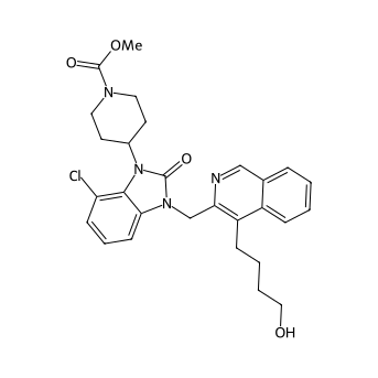 COC(=O)N1CCC(n2c(=O)n(Cc3ncc4ccccc4c3CCCCO)c3cccc(Cl)c32)CC1